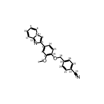 COc1cc(-c2cn3ccccc3n2)ccc1OCc1ccc(C#N)cc1